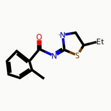 CCC1C[N]C(=NC(=O)c2ccccc2C)S1